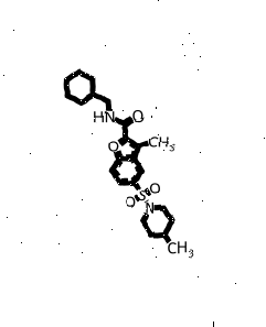 Cc1c(C(=O)NCC2CCCCC2)oc2ccc(S(=O)(=O)N3CCC(C)CC3)cc12